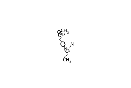 CCCc1cc(C#N)n(-c2ccc(CCOS(C)(=O)=O)cc2)c1